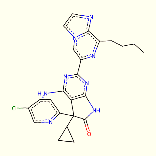 CCCCc1nc(-c2nc(N)c3c(n2)NC(=O)C3(c2ccc(Cl)cn2)C2CC2)cn2ccnc12